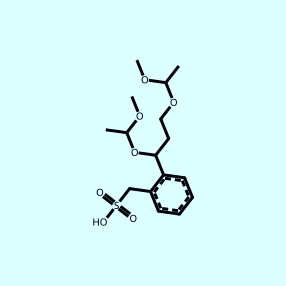 COC(C)OCCC(OC(C)OC)c1ccccc1CS(=O)(=O)O